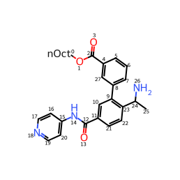 CCCCCCCCOC(=O)c1cccc(-c2cc(C(=O)Nc3ccncc3)ccc2C(C)N)c1